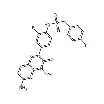 CC(C)n1c(=O)c(-c2ccc(NS(=O)(=O)Cc3ccc(F)cc3)c(F)c2)nc2cnc(N)nc21